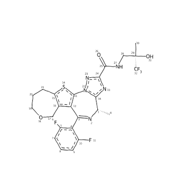 C[C@@H]1N=C(c2c(F)cccc2F)c2c(sc3c2COCCC3)-n2nc(C(=O)NC[C@@](C)(O)C(F)(F)F)nc21